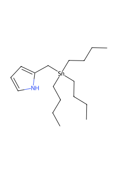 CCC[CH2][Sn]([CH2]CCC)([CH2]CCC)[CH2]c1ccc[nH]1